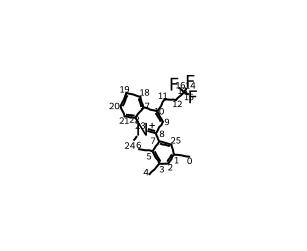 Cc1cc(C)c(C)c(-c2cc(CCC(F)(F)F)c3ccccc3[n+]2C)c1